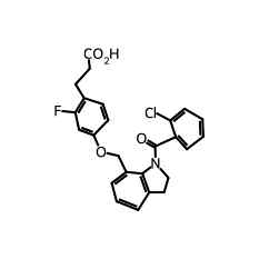 O=C(O)CCc1ccc(OCc2cccc3c2N(C(=O)c2ccccc2Cl)CC3)cc1F